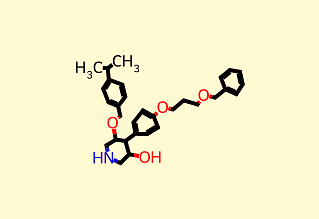 CC(C)c1ccc(COC2CNCC(O)C2c2ccc(OCCCOCc3ccccc3)cc2)cc1